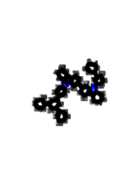 C1=CCC(C2=CC(n3c4c(c5c3C=C(c3ccc6c7c(n(-c8ccc(C9=CC(C%10=CCCC=C%10)CC(C%10=CCCC=C%10)C9)cc8)c6c3)CCC=C7)CC5)CCC=C4)CC=C2)C=C1